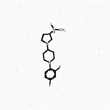 C[SH](I)C1CCN(C2CCN(c3ccc(F)cc3F)CC2)C1